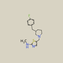 CNc1ncc(CN2CCCC(Cc3ccc(F)cc3)C2)s1